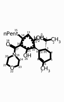 C=C(C)[C@@H]1CCC(C)=C[C@H]1c1c(O)cc(CCCCC)c(C(=O)N2CCOCC2)c1O